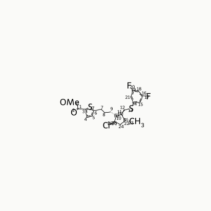 COC(=O)c1ccc(CCC[C@@H]2[C@@H](CSc3cc(F)cc(F)c3)[C@H](C)C[C@H]2Cl)s1